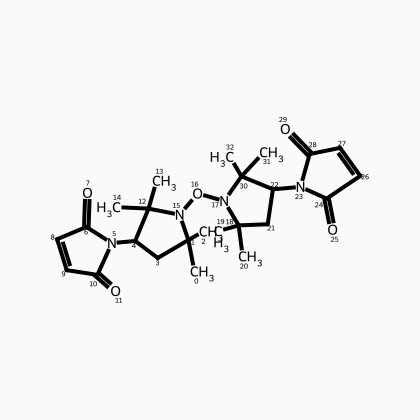 CC1(C)CC(N2C(=O)C=CC2=O)C(C)(C)N1ON1C(C)(C)CC(N2C(=O)C=CC2=O)C1(C)C